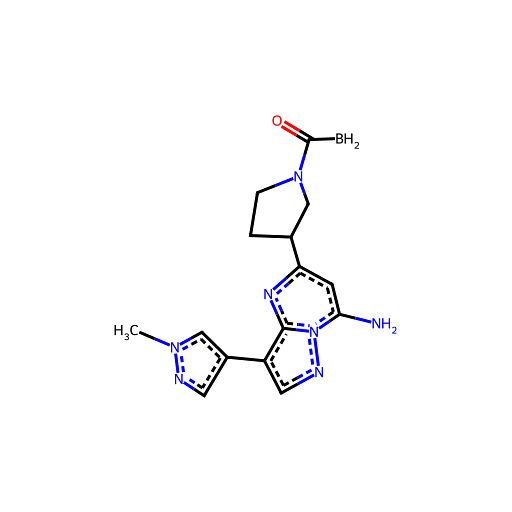 BC(=O)N1CCC(c2cc(N)n3ncc(-c4cnn(C)c4)c3n2)C1